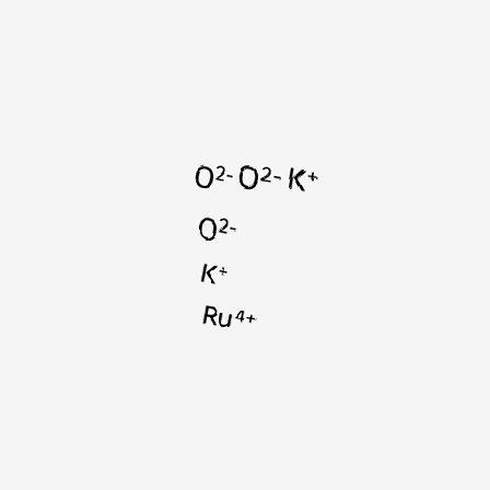 [K+].[K+].[O-2].[O-2].[O-2].[Ru+4]